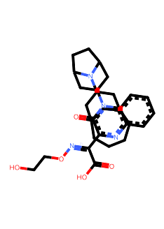 O=C(O)/C(=N\OCCO)c1nc2ccccc2n(C2CC3CCC(C2)N3C2CC3CCCCC(C3)C2)c1=O